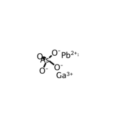 O=[As]([O-])([O-])[O-].[Ga+3].[Pb+2]